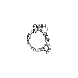 NC(=O)C1=NC=CN=CC=CC=CC=Cc2ccccc2C=NCOC=C1